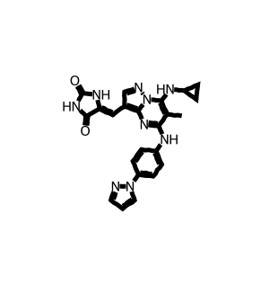 Cc1c(Nc2ccc(-n3cccn3)cc2)nc2c(/C=C3\NC(=O)NC3=O)cnn2c1NC1CC1